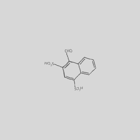 O=Cc1c(S(=O)(=O)O)cc(S(=O)(=O)O)c2ccccc12